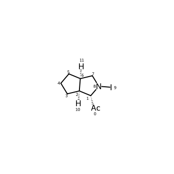 CC(=O)[C@@H]1[C@H]2CCC[C@H]2CN1I